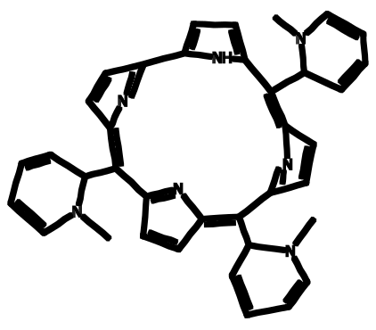 CN1C=CC=CC1C1=C2C=CC(=N2)C(C2C=CC=CN2C)=C2C=CC(=N2)c2ccc([nH]2)C(C2C=CC=CN2C)=C2C=CC1=N2